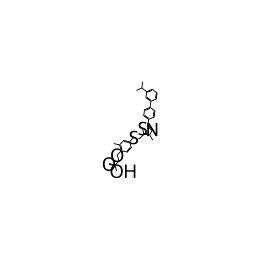 Cc1cc(SCc2sc(-c3ccc(-c4cccc(C(C)C)c4)cc3)nc2C)ccc1OCC(=O)O